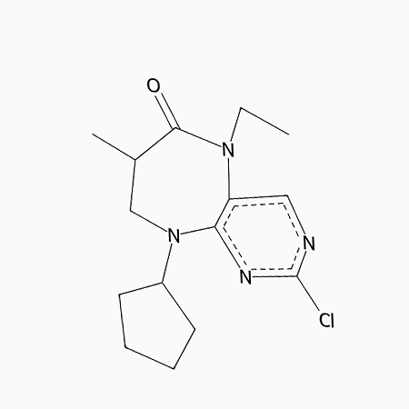 CCN1C(=O)C(C)CN(C2CCCC2)c2nc(Cl)ncc21